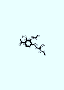 CCOC(=O)COc1ccc(C(C)=O)c(O)c1SCC